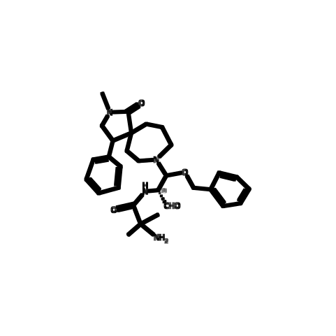 CN1CC(c2ccccc2)C2(CCCN(C(OCc3ccccc3)[C@H](C=O)NC(=O)C(C)(C)N)CC2)C1=O